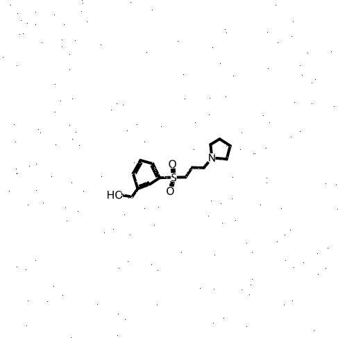 O=S(=O)(CCCN1CCCC1)c1cccc(CO)c1